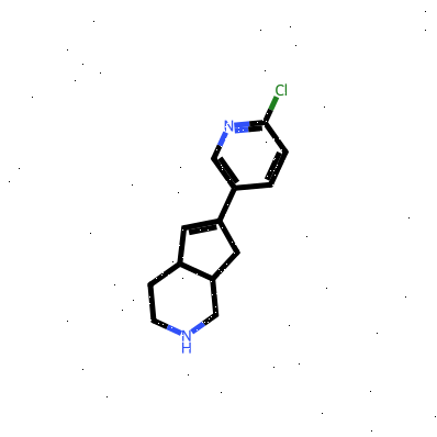 Clc1ccc(C2=CC3CCNCC3C2)cn1